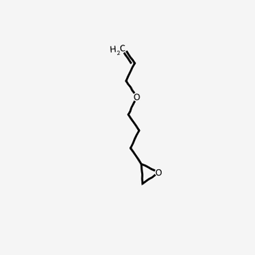 C=CCOCCCC1CO1